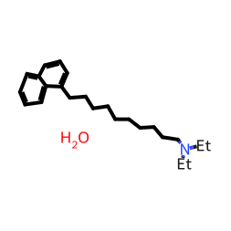 CCN(CC)CCCCCCCCCCc1cccc2ccccc12.O